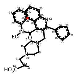 CCN(C(=O)c1c(CN2CCN(CC(C)C(=O)O)CC2)c(-c2ccccc2)nc2ccccc12)c1ccccc1